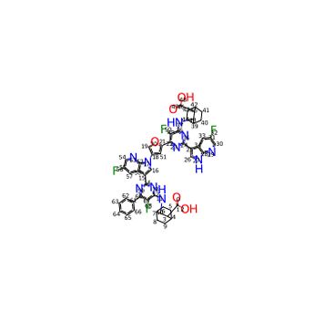 O=C(O)C1C2CCC(CC2)C1Nc1nc(-c2cn(-c3coc(-c4nc(-c5c[nH]c6ncc(F)cc56)nc(NC5C6CCC(CC6)C5C(=O)O)c4F)c3)c3ncc(F)cc23)nc(-c2ccccc2)c1F